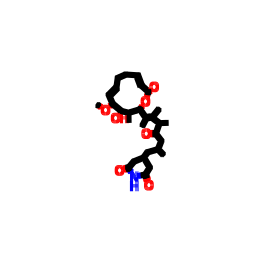 COC1/C=C/CC/C=C/C(=O)OC(/C(C)=C(\C)C(C)C(=O)CC(C)CC2CC(=O)NC(=O)C2)C(C)C1O